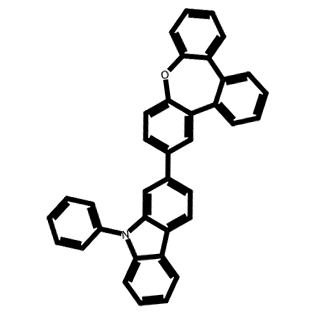 c1ccc(-n2c3ccccc3c3ccc(-c4ccc5c(c4)-c4ccccc4-c4ccccc4O5)cc32)cc1